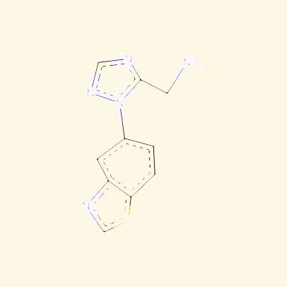 NCc1ncnn1-c1ccc2scnc2c1